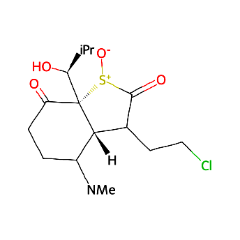 CNC1CCC(=O)[C@@]2([C@@H](O)C(C)C)[C@@H]1C(CCCl)C(=O)[S+]2[O-]